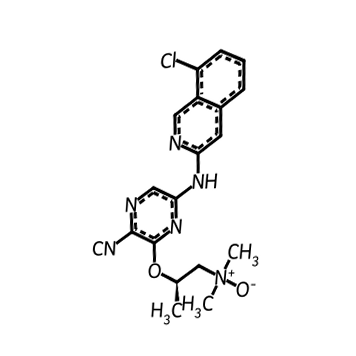 [C-]#[N+]c1ncc(Nc2cc3cccc(Cl)c3cn2)nc1O[C@H](C)C[N+](C)(C)[O-]